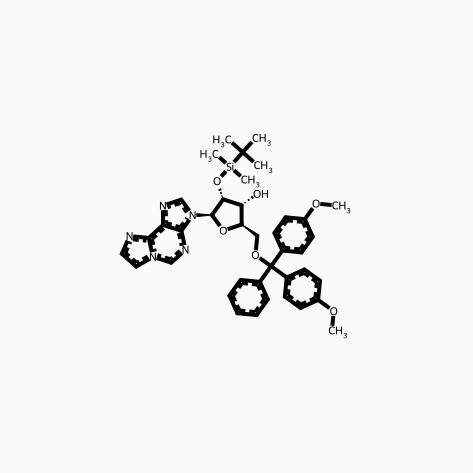 COc1ccc(C(OC[C@H]2O[C@@H](n3cnc4c3ncn3ccnc43)[C@H](O[Si](C)(C)C(C)(C)C)[C@@H]2O)(c2ccccc2)c2ccc(OC)cc2)cc1